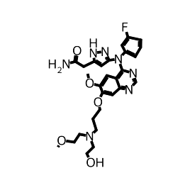 COCCN(CCO)CCCOc1cc2ncnc(N(c3cccc(F)c3)c3cc(CC(N)=O)[nH]n3)c2cc1OC